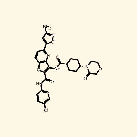 Nc1cc(-c2ccc3oc(C(=O)Nc4ccc(Cl)cn4)c(NC(=O)[C@H]4CC[C@H](N5CCOCC5=O)CC4)c3n2)on1